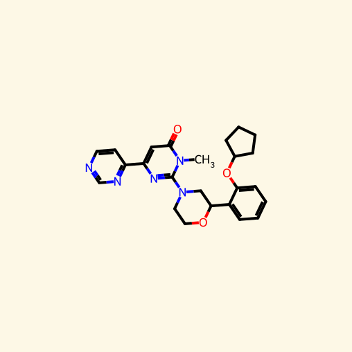 Cn1c(N2CCOC(c3ccccc3OC3CCCC3)C2)nc(-c2ccncn2)cc1=O